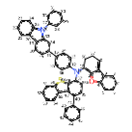 C1=c2c(oc3ccccc23)=C(N(c2ccc(-c3ccc4c5ccccc5n(-c5ccccc5)c4c3)cc2)c2ccc(-c3ccccc3)c3c2sc2ccccc23)CC1